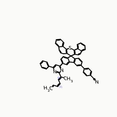 C=C/C=C\C=C(/C)c1nc(-c2ccccc2)cc(-c2ccc3c(c2)-c2cc(-c4ccc(C#N)cc4)ccc2C32C3=C(Sc4c2ccc2ccccc42)c2ccccc2C=CC3)n1